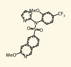 COc1cc2cc(S(=O)(=O)N(c3nccs3)c3ccc(C(F)(F)F)cc3OC)ccc2cn1